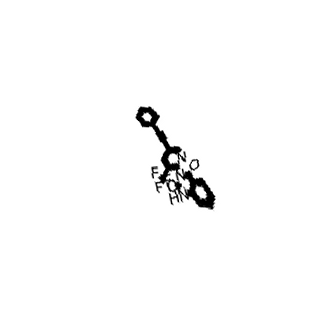 O=c1[nH]c2ccccc2c(=O)n1-c1ncc(C#Cc2ccccc2)cc1C(F)(F)F